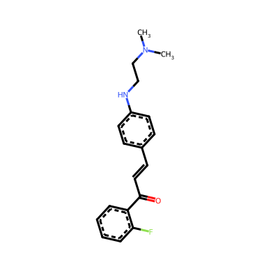 CN(C)CCNc1ccc(C=CC(=O)c2ccccc2F)cc1